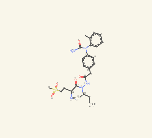 Cc1ccccc1N(C(N)=O)c1ccc(CC(=O)NN(C(=O)C(N)CCS(C)(=O)=O)[C@@H](CC(=O)O)C(=O)O)cc1